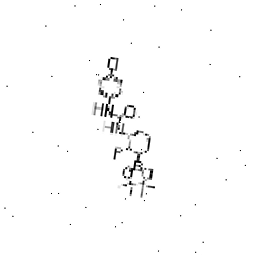 CC1(C)OB(C2C=CC=C(NC(=O)Nc3ccc(Cl)cc3)C2F)OC1(C)C